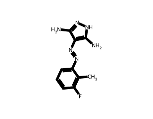 Cc1c(F)cccc1N=Nc1c(N)n[nH]c1N